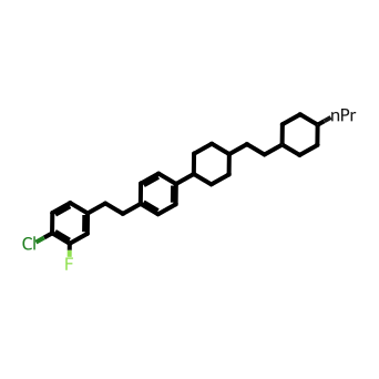 CCCC1CCC(CCC2CCC(c3ccc(CCc4ccc(Cl)c(F)c4)cc3)CC2)CC1